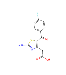 Nc1nc(CC(=O)O)c(C(=O)c2ccc(F)cc2)s1